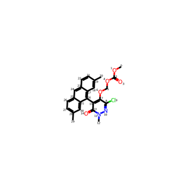 COC(=O)OCOc1c(Cl)nn(C)c(=O)c1-c1c2cc(C)ccc2cc2ccc(C)cc12